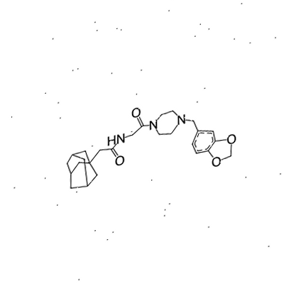 O=C(CC12CC3CC(CC(C3)C1)C2)NCC(=O)N1CCN(Cc2ccc3c(c2)OCO3)CC1